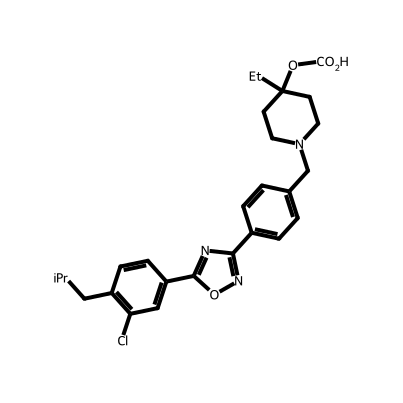 CCC1(OC(=O)O)CCN(Cc2ccc(-c3noc(-c4ccc(CC(C)C)c(Cl)c4)n3)cc2)CC1